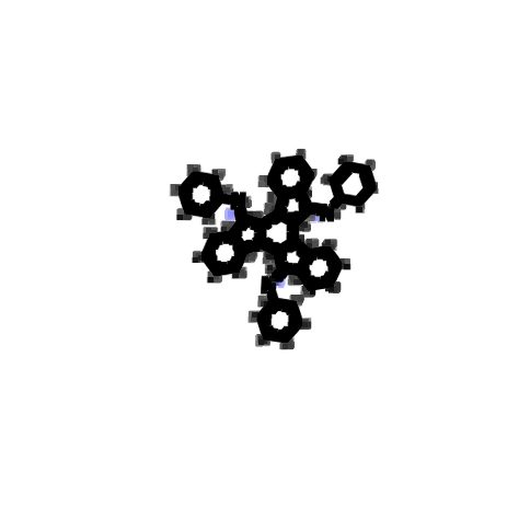 C1=CCC(/N=c2\c3ccccc3c3c4/c(=N/c5ccccc5)c5ccccc5c4c4/c(=N/c5ccccc5)c5ccccc5c4c23)C=C1